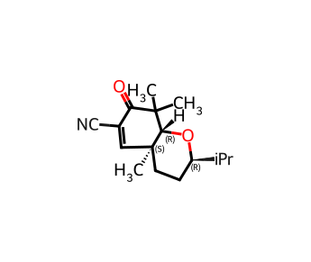 CC(C)[C@H]1CC[C@@]2(C)C=C(C#N)C(=O)C(C)(C)[C@@H]2O1